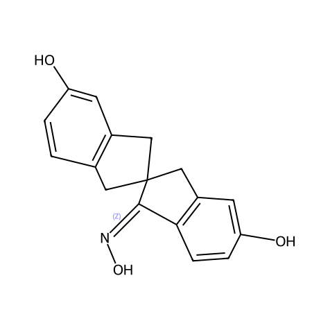 O/N=C1\c2ccc(O)cc2CC12Cc1ccc(O)cc1C2